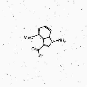 COC1=CC=CC2C1C(C(=O)C(C)C)=CN2N